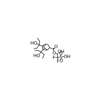 CCC(O)(CC)C1C2CC(C(=O)OC(O)C(F)(F)S(=O)(=O)O)C(S2)C1C(O)(CC)CC